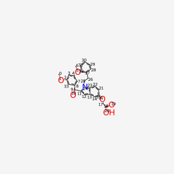 COc1cc(OC)cc(C(=O)c2cc3cc(OCC(=O)O)ccc3n2CCc2ccccc2)c1